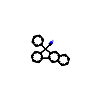 N#CC1(c2ccccc2)c2ccccc2-c2cc3ccccc3cc21